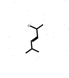 CC(C)/C=C/C(C)Cl